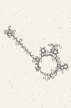 C=C1c2cn(nn2)CCCCC(C(N)=O)NC(=O)C(C)(C)NC(=O)[C@H](Cc2cn(C)c3ccccc23)NC(=O)C(Cc2ccccc2)NC(=O)[C@@H](CCCNC(=N)N)NC(=O)C(Cc2ccccc2)NC(=O)[C@H]1NC(=O)COCCOCCOCCNC(=O)CCCCC1SC[C@@H]2NC(=O)N[C@H]12